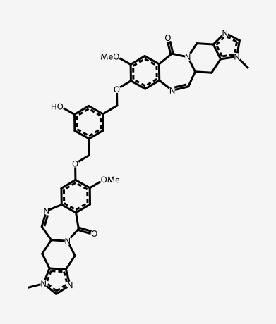 COc1cc2c(cc1OCc1cc(O)cc(COc3cc4c(cc3OC)C(=O)N3Cc5ncn(C)c5CC3C=N4)c1)N=CC1Cc3c(ncn3C)CN1C2=O